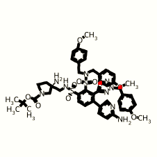 COc1ccc(CN(Cc2ccc(OC)cc2)S(=O)(=O)c2c(S(=O)(=O)NC[C@]3(N)CCN(C(=O)OC(C)(C)C)C3)ccc(-c3ccc(N)nc3)c2-c2nnn(Cc3ccc(OC)cc3)n2)cc1